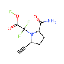 C#CC1CCC(C(N)=O)N1C(F)(F)C(=O)OF